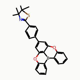 CC1(C)N=C(c2ccc(-c3cc4c5c(c3)Oc3ccccc3B5c3ccccc3O4)cc2)SC1(C)C